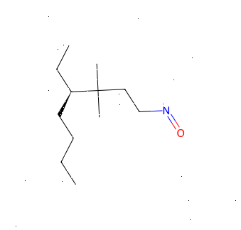 CCCC[C@@H](CC)C(C)(C)CCN=O